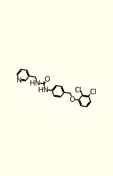 O=C(NCc1cccnc1)Nc1ccc(COc2cccc(Cl)c2Cl)cc1